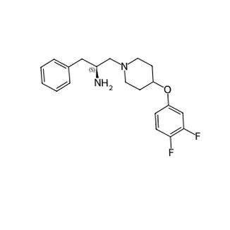 N[C@@H](Cc1ccccc1)CN1CCC(Oc2ccc(F)c(F)c2)CC1